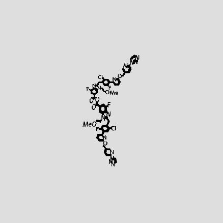 COCCn1c(Cc2cc(F)c(-c3cccc(OCc4ccc(-n5ccnn5)nc4)n3)cc2Cl)nc2c(F)cc(C(=O)OC(=O)c3cc(F)c4nc(Cc5cc(F)c(-c6cccc(OCc7ccc(-n8ccnn8)nc7)n6)cc5Cl)n(CCOC)c4c3)cc21